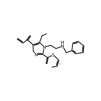 C=CC(=C)C1=C(CC)N(CCNCc2ccccc2)C(C(=C)S/C=C\C)=NC1